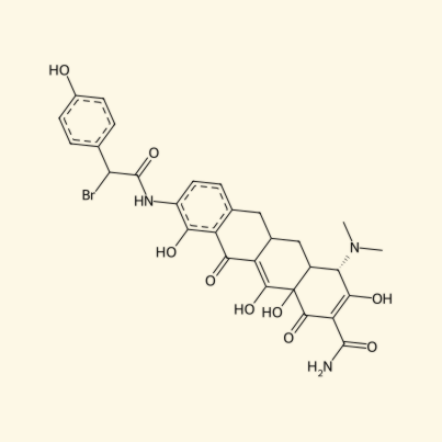 CN(C)[C@@H]1C(O)=C(C(N)=O)C(=O)C2(O)C(O)=C3C(=O)c4c(ccc(NC(=O)C(Br)c5ccc(O)cc5)c4O)CC3CC12